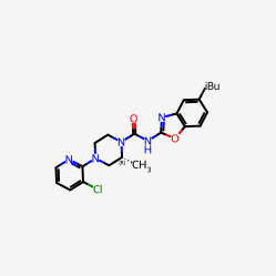 CCC(C)c1ccc2oc(NC(=O)N3CCN(c4ncccc4Cl)C[C@H]3C)nc2c1